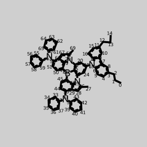 CCCc1ccc2c(c1)c1cc(CCC)ccc1n2-c1cc2c3c(c1)-n1c(C)cc4c(N(c5ccccc5)c5ccccc5)ccc(c41)B3c1ccc(N(c3ccccc3)c3ccccc3)c3cc(C)n-2c13